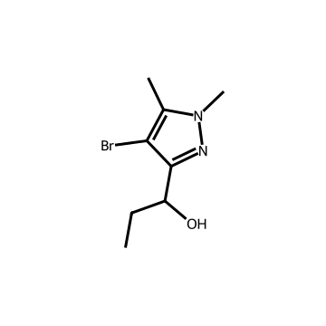 CCC(O)c1nn(C)c(C)c1Br